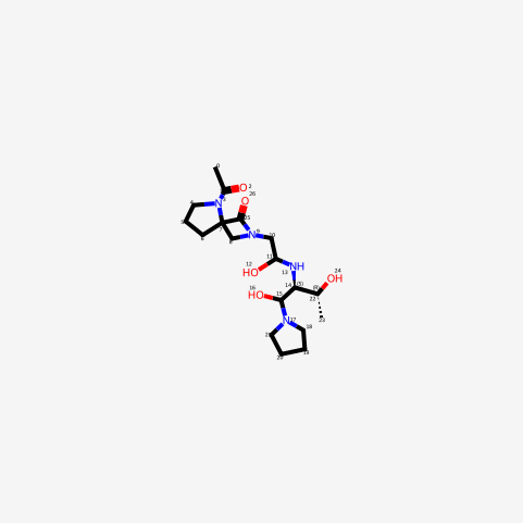 CC(=O)N1CCCC12CN(CC(O)N[C@H](C(O)N1CCCC1)[C@@H](C)O)C2=O